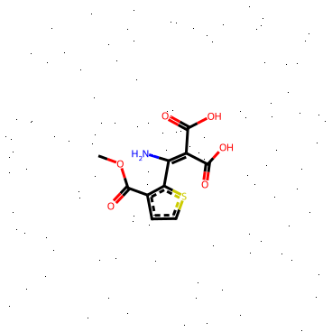 COC(=O)c1ccsc1C(N)=C(C(=O)O)C(=O)O